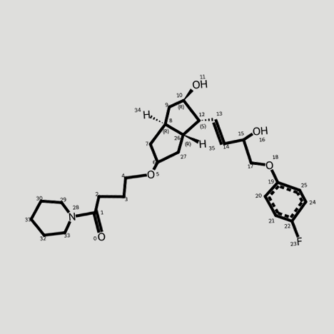 O=C(CCCOC1C[C@H]2C[C@@H](O)[C@H](C=CC(O)COc3ccc(F)cc3)[C@@H]2C1)N1CCCCC1